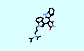 CC(C)N(CCCn1cc(C2=C(c3c[nH]c4ccccc34)C(=O)NC2=O)c2ccccc21)C(C)C